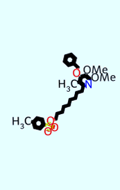 COc1nc(CCCCCCCCCOS(=O)(=O)c2ccc(C)cc2)c(C)c(OCc2ccccc2)c1OC